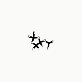 FC(F)OC1(F)OC(F)(F)OC1(F)F